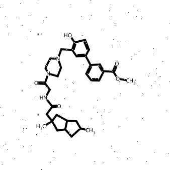 COC(=O)c1cccc(-c2ccc(O)c(CN3CCN(C(=O)CNC(=O)CC4(C)CC5CC(C)CC5C4)CC3)c2)c1